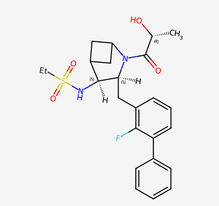 CCS(=O)(=O)N[C@H]1C2CC(C2)N(C(=O)[C@@H](C)O)[C@H]1Cc1cccc(-c2ccccc2)c1F